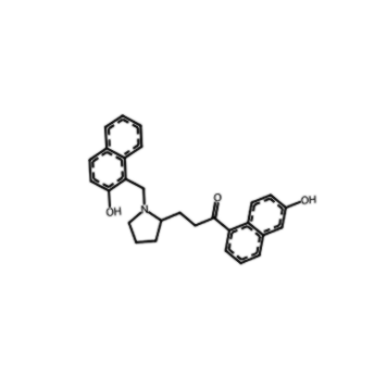 O=C(CCC1CCCN1Cc1c(O)ccc2ccccc12)c1cccc2cc(O)ccc12